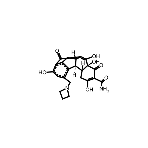 NC(=O)C1=C(O)C[C@@H]2[C@H]3c4c(CN5CCC5)cc(O)c5c4C[C@@H]3C(=C(O)[C@]2(O)C1=O)C5=O